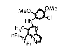 CCCN(CCC)c1c(C)c(Nc2cc(Cl)c(OC)cc2OC)nc2ccnn12